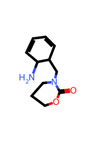 NC1C=CC=CC1CN1CCCOC1=O